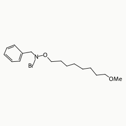 COCCCCCCCCON(Br)Cc1ccccc1